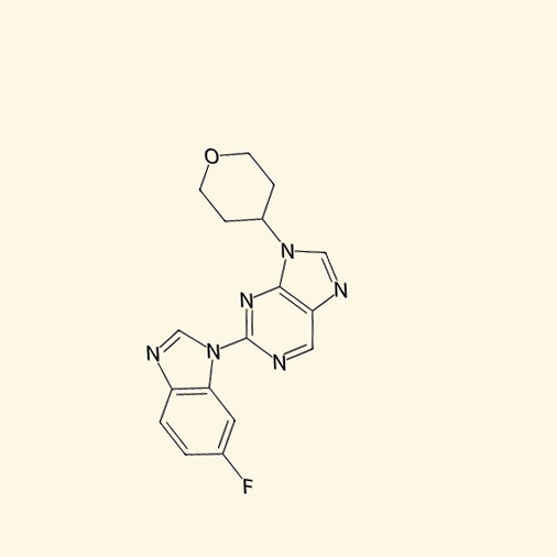 Fc1ccc2ncn(-c3ncc4ncn(C5CCOCC5)c4n3)c2c1